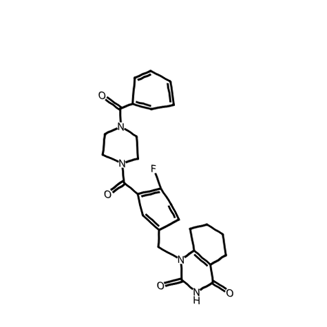 O=C(c1ccccc1)N1CCN(C(=O)c2cc(Cn3c4c(c(=O)[nH]c3=O)CCCC4)ccc2F)CC1